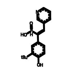 CC(C)(C)c1cc(C(=Cc2cccnc2)[PH](=O)O)ccc1O